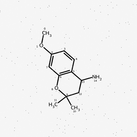 COc1ccc2c(c1)OC(C)(C)CC2N